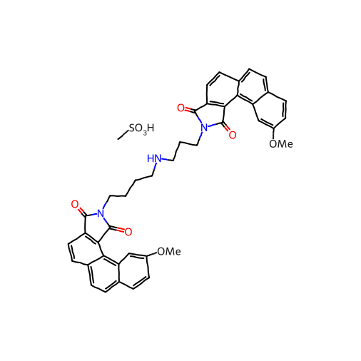 COc1ccc2ccc3ccc4c(c3c2c1)C(=O)N(CCCCNCCCN1C(=O)c2ccc3ccc5ccc(OC)cc5c3c2C1=O)C4=O.CS(=O)(=O)O